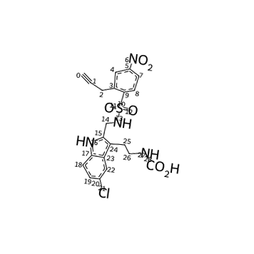 C#CCc1cc([N+](=O)[O-])ccc1S(=O)(=O)NCc1[nH]c2ccc(Cl)cc2c1CCNC(=O)O